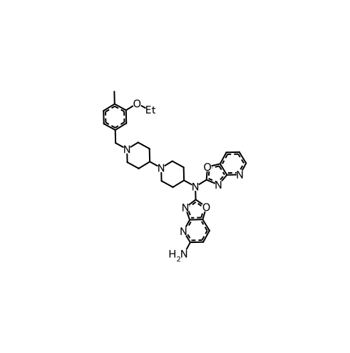 CCOc1cc(CN2CCC(N3CCC(N(c4nc5ncccc5o4)c4nc5nc(N)ccc5o4)CC3)CC2)ccc1C